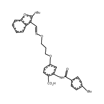 CCCCc1oc2ccccc2c1C=NOCCCOc1ccc(C(=O)O)c(NC(=O)c2ccc(C(C)(C)C)cc2)c1